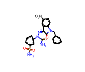 NC(=S)N(/N=C1\C(=O)N(Cc2ccccc2)c2ccc([N+](=O)[O-])cc21)c1cccc(S(N)(=O)=O)c1